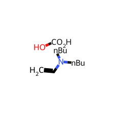 C=CN(CCCC)CCCC.O=C(O)O